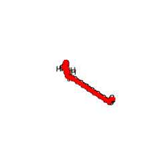 O=C(Nc1cccc(-c2cn(CCOCCOCCOCCOCCOCCOCCOCCOCCOCCOCCOCCOCCC(=O)ON3C(=O)CCC3=O)nn2)c1)NC1CC2(C1)NC(=O)N(Cc1ccccc1)C2=O